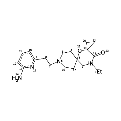 CCN1CC2(CCN(CCc3cccc(N)n3)CC2)OC2(CC2)C1=O